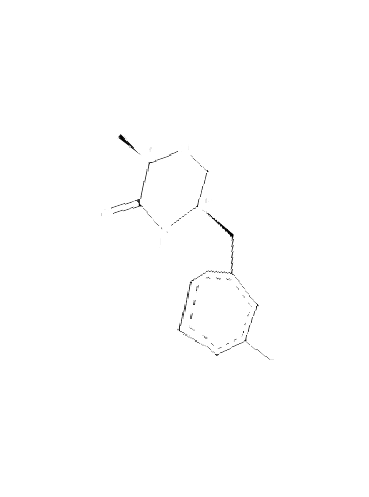 C[C@H]1OC[C@@H](Cc2cccc(I)c2)NC1=O